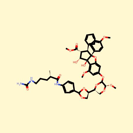 COC(=O)[C@H]1[C@@H](O)[C@@]2(O)c3c(OC)cc(OC4O[C@@H]([C@H]5COC(c6ccc(NC(=O)[C@@H](C)CCCNC(N)=O)cc6)O5)CO[C@H]4OC)cc3O[C@@]2(c2ccc(OC)cc2)[C@@H]1c1ccccc1